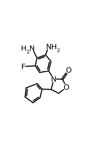 Nc1cc(N2C(=O)OCC2c2ccccc2)cc(F)c1N